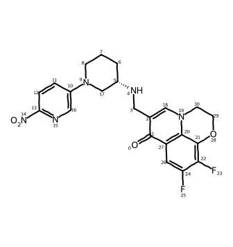 O=c1c(CN[C@H]2CCCN(c3ccc([N+](=O)[O-])nc3)C2)cn2c3c(c(F)c(F)cc13)OCC2